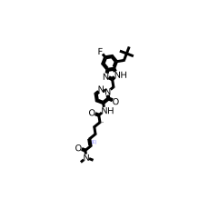 CN(C)C(=O)/C=C/CC[CH]C(=O)Nc1ccnn(Cc2nc3cc(F)cc(CC(C)(C)C)c3[nH]2)c1=O